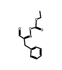 CCOC(=O)ON=C(C=O)Cc1ccccc1